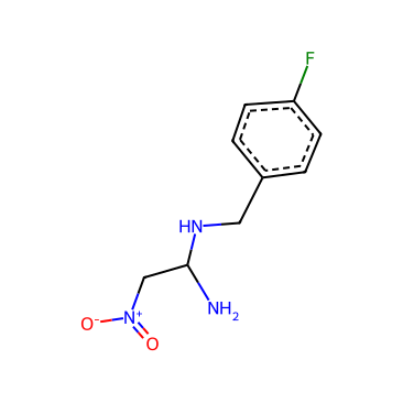 NC(C[N+](=O)[O-])NCc1ccc(F)cc1